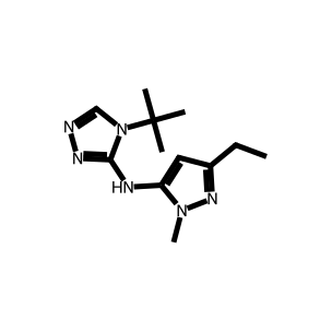 CCc1cc(Nc2nncn2C(C)(C)C)n(C)n1